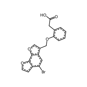 O=C(O)Cc1ccccc1OCc1coc2c1cc(Br)c1ccoc12